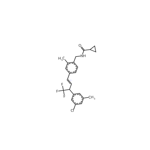 Cc1cc(Cl)cc(C(/C=C/c2ccc(CNC(=O)C3CC3)c(C)c2)C(F)(F)F)c1